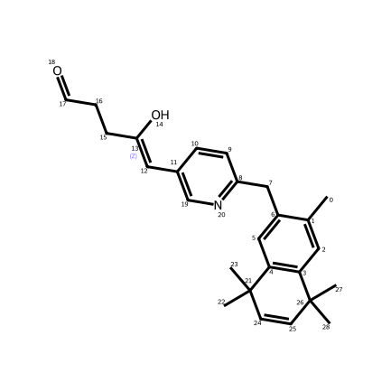 Cc1cc2c(cc1Cc1ccc(/C=C(\O)CCC=O)cn1)C(C)(C)C=CC2(C)C